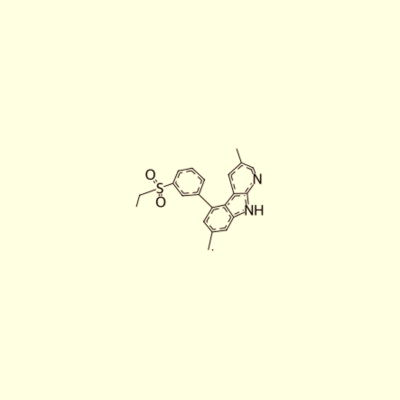 [CH2]c1cc(-c2cccc(S(=O)(=O)CC)c2)c2c(c1)[nH]c1ncc(C)cc12